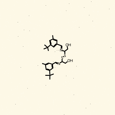 Cc1cc(C=NC(CO)SSC(CO)N=Cc2cc(C)cc(C(C)(C)C)c2)cc(C(C)(C)C)c1